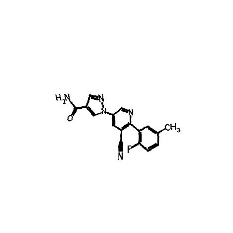 Cc1ccc(F)c(-c2ncc(-n3cc(C(N)=O)cn3)cc2C#N)c1